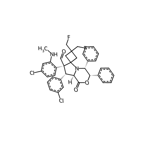 CNc1cc(Cl)ccc1[C@@]1(C=O)[C@@H](c2cccc(Cl)c2)[C@@H]2C(=O)O[C@@H](c3ccccc3)[C@@H](c3ccccc3)N2C12CC(CF)(CF)C2